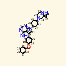 Nc1ncnc2c1c(-c1ccc(Oc3ccccc3)cc1)cn2[C@H]1CC[C@@H](N2CCNC3(CC3)C2)CC1